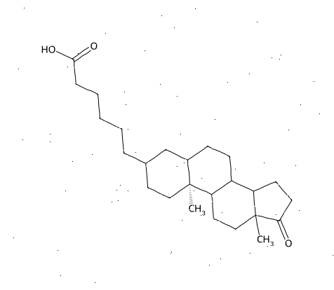 CC12CCC3C(CCC4CC(CCCCCC(=O)O)CC[C@@]43C)C1CCC2=O